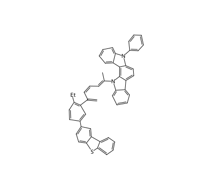 C=C(/C=C\C=C(/C)n1c2ccccc2c2ccc3c(c4ccccc4n3-c3ccccc3)c21)c1cc(-c2ccc3sc4ccccc4c3c2)ccc1CC